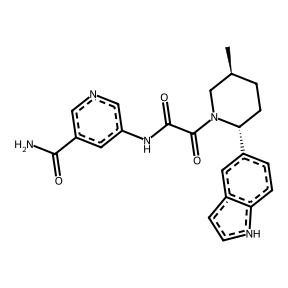 C[C@H]1CC[C@H](c2ccc3[nH]ccc3c2)N(C(=O)C(=O)Nc2cncc(C(N)=O)c2)C1